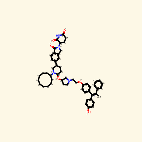 CC/C(=C(\c1ccc(O)cc1)c1ccc(OCCN2CCC(OC3CCC(c4ccc5c(c4)CN(C4CCC(=O)NC4=O)C5=O)CN3C3CCCCCCCCC3)C2)cc1)c1ccccc1